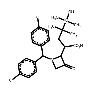 CC(C)(CC(C(=O)O)C1C(=O)CN1C(c1ccc(Cl)cc1)c1ccc(Cl)cc1)[Si](C)(C)O